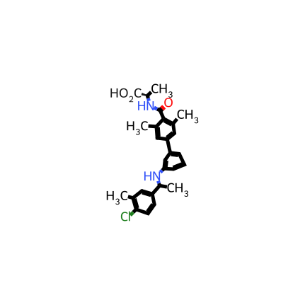 Cc1cc(C(C)Nc2cccc(-c3cc(C)c(C(=O)N[C@H](C)C(=O)O)c(C)c3)c2)ccc1Cl